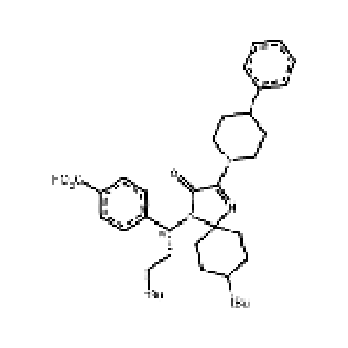 CC(C)(C)CC[C@H](c1ccc(C(=O)O)cc1)N1C(=O)C(N2CCC(c3ccccc3)CC2)=NC12CCC(C(C)(C)C)CC2